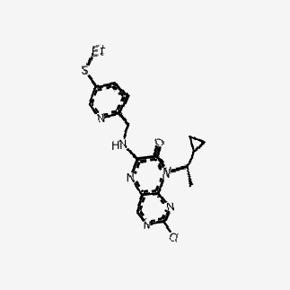 CCSc1ccc(CNc2nc3cnc(Cl)nc3n([C@H](C)C3CC3)c2=O)nc1